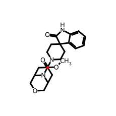 COC(=O)N1C2COCC1CC(N1CCC3(CC1)C(=O)Nc1ccccc13)C2